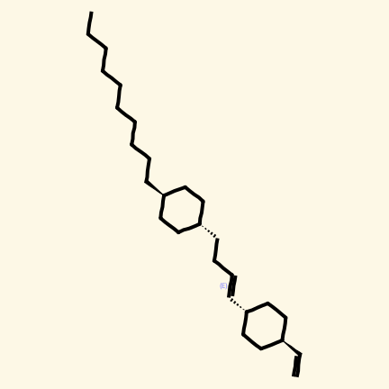 C=C[C@H]1CC[C@H](/C=C/CC[C@H]2CC[C@H](CCCCCCCCCC)CC2)CC1